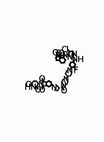 CS(=O)(=O)n1ccc2cccc(Nc3nc(Nc4ccc(N5CCC(N6CCN(C(=O)[C@@H]7CCN(c8ccc9c(c8)C(=O)N(C8CCC(=O)NC8=O)C9=O)C7)CC6)CC5)c(F)c4)ncc3Cl)c21